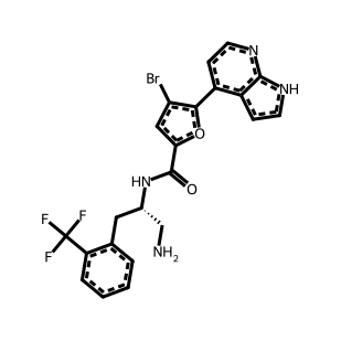 NC[C@H](Cc1ccccc1C(F)(F)F)NC(=O)c1cc(Br)c(-c2ccnc3[nH]ccc23)o1